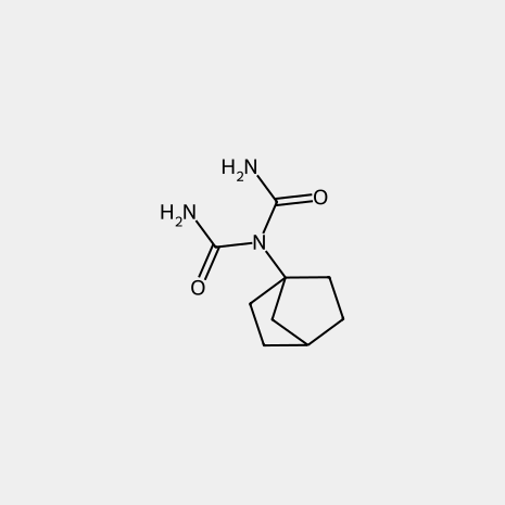 NC(=O)N(C(N)=O)C12CCC(CC1)C2